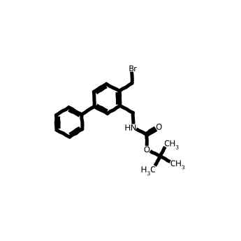 CC(C)(C)OC(=O)NCc1cc(-c2ccccc2)ccc1CBr